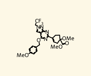 COC(=O)C1(OC)CC=C(c2nc(OCc3ccc(OC)cc3)c3cn(CC(F)(F)F)nc3n2)CC1